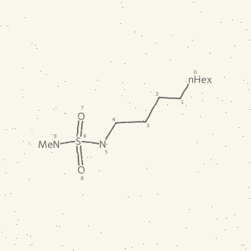 CCCCCCCCCC[N]S(=O)(=O)NC